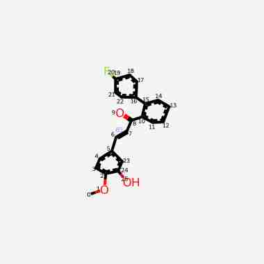 COc1ccc(/C=C/C(=O)c2ccccc2-c2ccc(F)cc2)cc1O